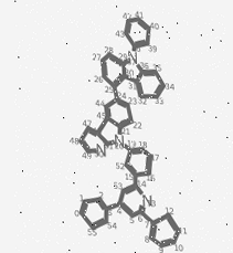 c1ccc(-c2cc(-c3ccccc3)nc(-c3cccc(-n4c5ccc(-c6cccc7c6c6ccccc6n7-c6ccccc6)cc5c5cccnc54)c3)c2)cc1